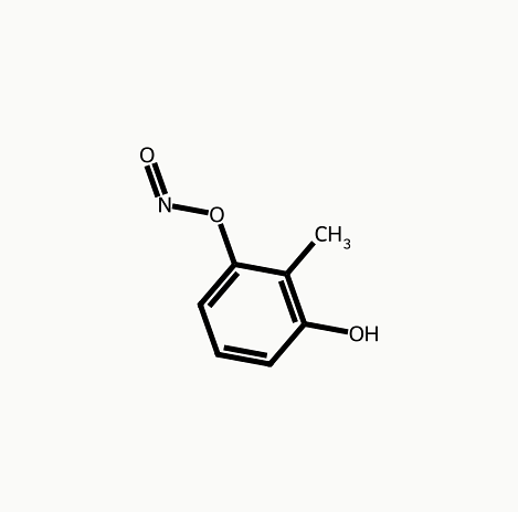 Cc1c(O)cccc1ON=O